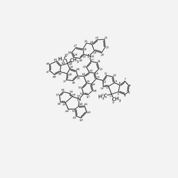 CC1(C)c2ccccc2-c2ccc(-c3c4ccc(N5c6ccccc6Cc6ccccc65)cc4c(-c4ccc5c(c4)C(C)(C)c4ccccc4-5)c4cc(N5c6ccccc6Cc6ccccc65)ccc34)cc21